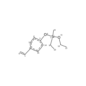 C=Cc1ccc(O[Si](C)(CC)OCC)cc1